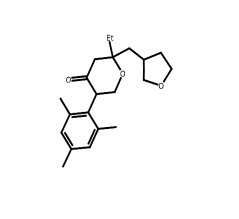 CCC1(CC2CCOC2)CC(=O)C(c2c(C)cc(C)cc2C)CO1